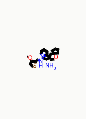 COc1ccsc1CNCCC1(c2ccccn2)CCOC2(CC=CC2)C1.N